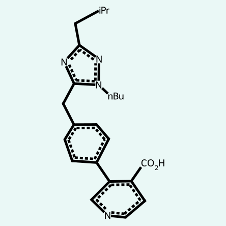 CCCCn1nc(CC(C)C)nc1Cc1ccc(-c2cnccc2C(=O)O)cc1